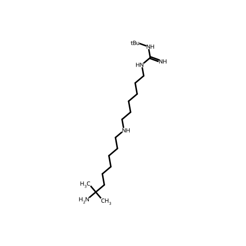 CC(C)(N)CCCCCCNCCCCCCNC(=N)NC(C)(C)C